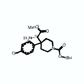 COC(=O)[C@@H](N)C1(c2ccc(Cl)cc2)CCN(C(=O)OC(C)(C)C)CC1